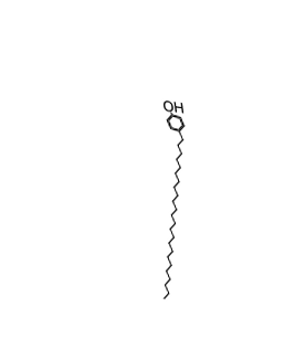 CCCCCCCCCCCCCCCCCCCCCCCCc1ccc(O)cc1